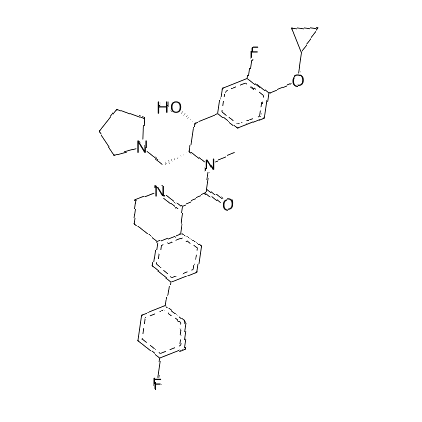 CN(C(=O)C1=NCCc2cc(-c3ccc(F)cc3)ccc21)[C@H](CN1CCCC1)[C@H](O)c1ccc(OC2CC2)c(F)c1